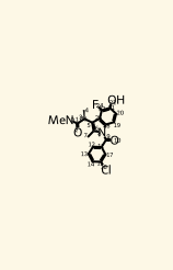 CNC(=O)[C@@H](C)c1c(C)n(C(=O)c2cccc(Cl)c2)c2ccc(O)c(F)c12